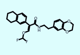 O=C(NCCc1ccc2c(c1)OCCO2)C(=COC(F)F)c1ccc2c(c1)CCCC2